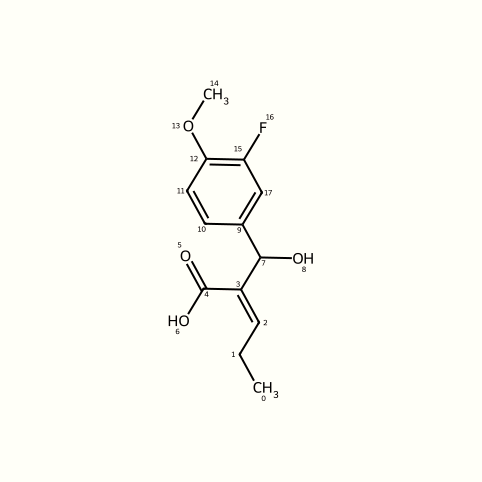 CCC=C(C(=O)O)C(O)c1ccc(OC)c(F)c1